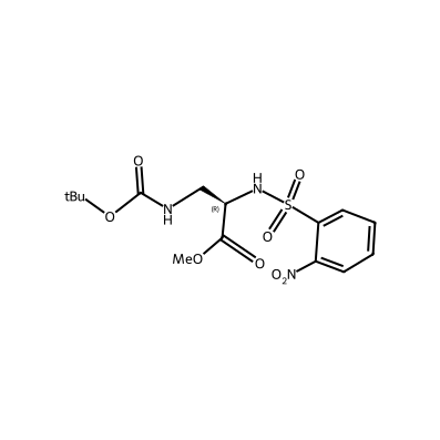 COC(=O)[C@@H](CNC(=O)OC(C)(C)C)NS(=O)(=O)c1ccccc1[N+](=O)[O-]